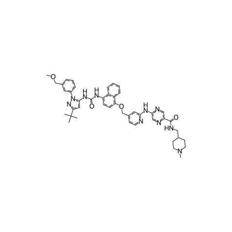 COCc1cccc(-n2nc(C(C)(C)C)cc2NC(=O)Nc2ccc(OCc3ccnc(Nc4cnc(C(=O)NCC5CCN(C)CC5)cn4)c3)c3ccccc23)c1